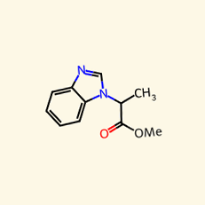 COC(=O)C(C)n1cnc2ccccc21